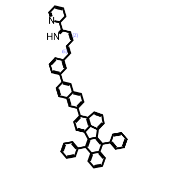 N=C(/C=C\C=C\c1cccc(-c2ccc3cc(-c4ccc5c6c(cccc46)-c4c-5c(-c5ccccc5)c5ccccc5c4-c4ccccc4)ccc3c2)c1)C1CC=CC=N1